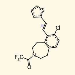 O=C(N1CCc2ccc(Cl)c(/C=C/c3cccs3)c2CC1)C(F)(F)F